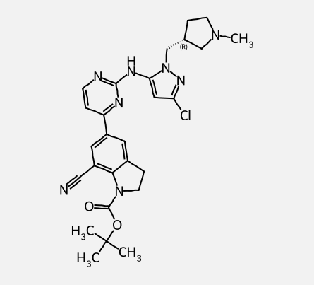 CN1CC[C@@H](Cn2nc(Cl)cc2Nc2nccc(-c3cc(C#N)c4c(c3)CCN4C(=O)OC(C)(C)C)n2)C1